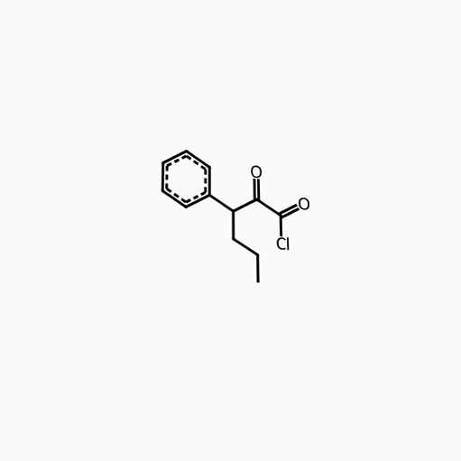 CCCC(C(=O)C(=O)Cl)c1ccccc1